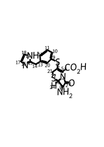 N[C@@H]1C(=O)N2C(C(=O)O)=C(Sc3cccc(Cc4ncc[nH]4)c3)CS[C@H]12